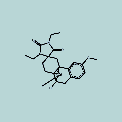 CCN1C(=O)N(CC)[C@]2(CC[C@@]3(O)[C@H]4Cc5ccc(OC)cc5[C@@]3(CCN4C)C2)C1=O